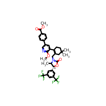 COC(=O)c1ccc(-c2cnc(OC)c(C3=C(CN4C(=O)O[C@H](c5cc(C(F)(F)F)cc(C(F)(F)F)c5)C4C)CC(C)(C)CC3)c2)cc1